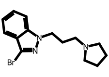 Brc1nn(CCCN2CCCC2)c2ccccc12